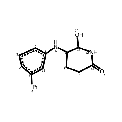 CC(C)c1cccc(NC2CCC(=O)NC2O)c1